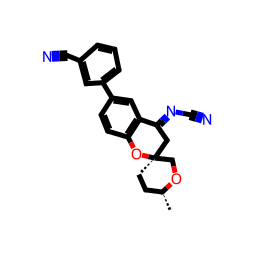 C[C@@H]1CC[C@@]2(CO1)C/C(=N\C#N)c1cc(-c3cccc(C#N)c3)ccc1O2